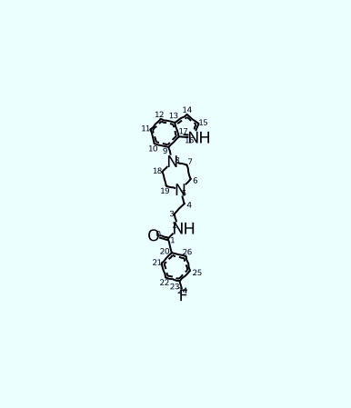 O=C(NCCN1CCN(c2cccc3cc[nH]c23)CC1)c1ccc(F)cc1